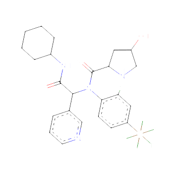 O=C(NC1CCCCC1)C(c1cccnc1)N(C(=O)C1CC(O)CN1)c1ccc(S(F)(F)(F)(F)F)cc1Cl